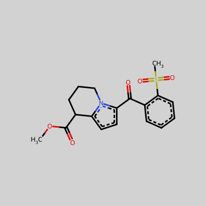 COC(=O)C1CCCn2c(C(=O)c3ccccc3S(C)(=O)=O)ccc21